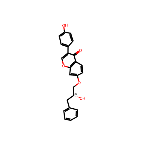 O=c1c(-c2ccc(O)cc2)coc2cc(OC[C@H](O)Cc3ccccc3)ccc12